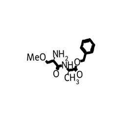 COC[C@H](N)C(=O)N[C@@H](C)C(=O)OCc1ccccc1